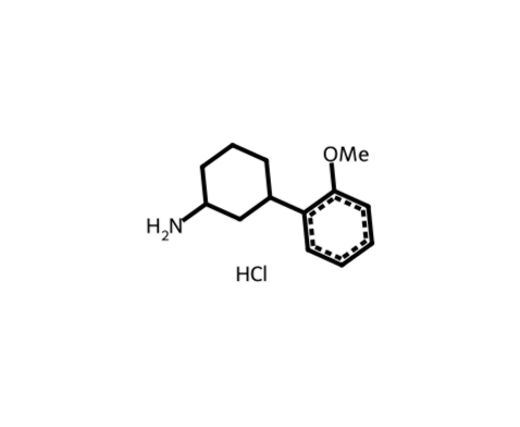 COc1ccccc1C1CCCC(N)C1.Cl